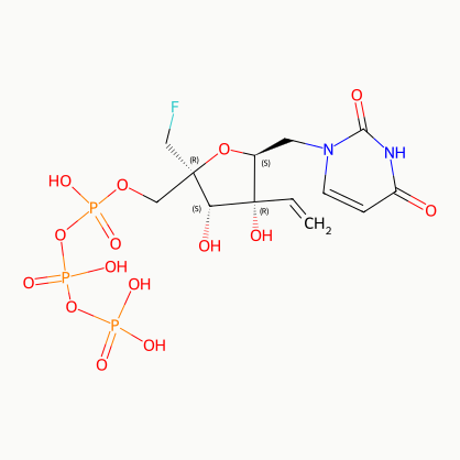 C=C[C@]1(O)[C@H](Cn2ccc(=O)[nH]c2=O)O[C@](CF)(COP(=O)(O)OP(=O)(O)OP(=O)(O)O)[C@H]1O